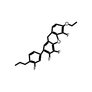 CCCc1ccc(-c2cc3c(c(F)c2F)Oc2c(ccc(OCC)c2F)C3)cc1F